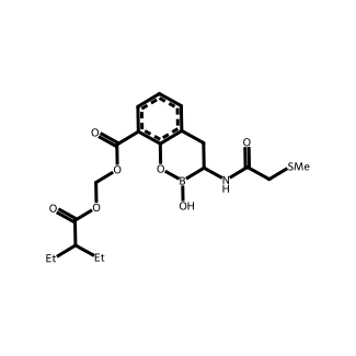 CCC(CC)C(=O)OCOC(=O)c1cccc2c1OB(O)C(NC(=O)CSC)C2